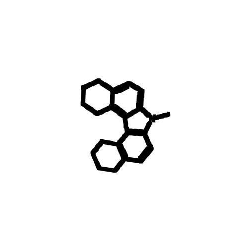 Cn1c2ccc3c(c2c2c4c(ccc21)CCCC4)CCCC3